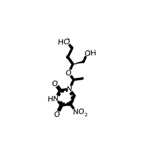 CC(O[C@H](CO)CCO)n1cc([N+](=O)[O-])c(=O)[nH]c1=O